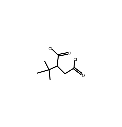 CC(C)(C)C(CC(=O)Cl)C(=O)Cl